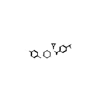 C[C@](O)(c1ccc(C(=O)N(C2CC2)[C@H]2CC[C@H](Cc3ccc(C#N)cc3)CC2)cc1)C(F)(F)F